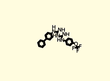 N=C(NC(=N)Nc1ccc(-c2ccccc2)cc1)Nc1ccc(OC(F)(F)F)cc1